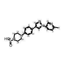 Cc1ccc(-n2cc(-c3ccc(N4CCN(S(=O)O)CC4)cc3)cn2)cn1